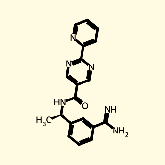 C[C@@H](NC(=O)c1cnc(-c2ccccn2)nc1)c1cccc(C(=N)N)c1